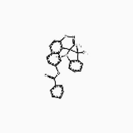 CN1c2ccccc2C(C)(C)C12C=NOc1ccc3ccc(OC(=O)c4ccccc4)cc3c12